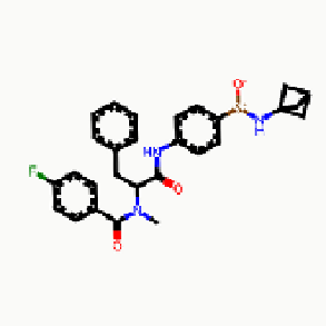 CN(C(=O)c1ccc(F)cc1)C(Cc1ccccc1)C(=O)Nc1ccc([S+]([O-])NC23CC(C2)C3)cc1